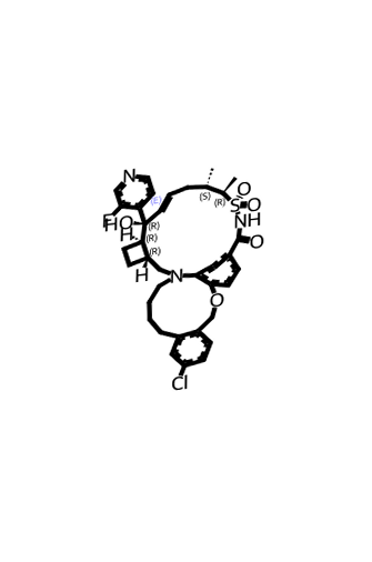 C[C@@H]1[C@@H](C)C/C=C/[C@@](O)(c2ccncc2F)[C@@H]2CC[C@H]2CN2CCCCc3cc(Cl)ccc3COc3ccc(cc32)C(=O)NS1(=O)=O